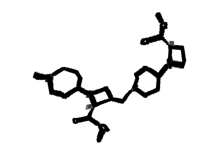 COC(=O)[C@@H]1CCN1C1CCN(CC2CN(C3CCN(C)CC3)[C@H]2C(=O)OC)CC1